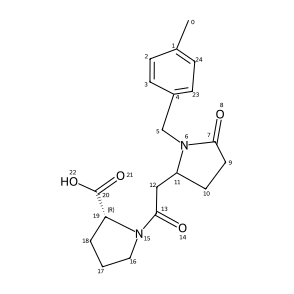 Cc1ccc(CN2C(=O)CCC2CC(=O)N2CCC[C@@H]2C(=O)O)cc1